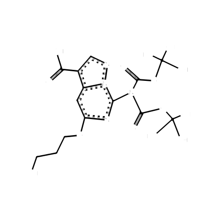 CCCCOc1cc2c(C(=O)O)cnn2c(N(C(=O)OC(C)(C)C)C(=O)OC(C)(C)C)n1